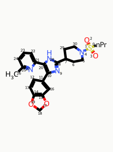 CCCS(=O)(=O)N1CCC(c2nc(-c3ccc4c(c3)OCO4)c(-c3cccc(C)n3)[nH]2)CC1